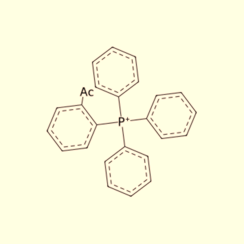 CC(=O)c1ccccc1[P+](c1ccccc1)(c1ccccc1)c1ccccc1